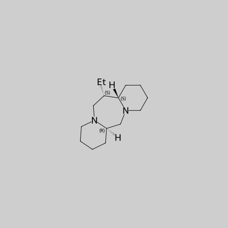 CC[C@H]1CN2CCCC[C@@H]2CN2CCCC[C@@H]12